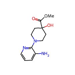 COC(=O)C1(O)CCN(c2ncccc2N)CC1